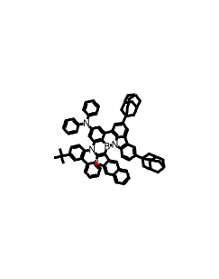 CC(C)(C)c1ccc(N2c3cc(N(c4ccccc4)c4ccccc4)cc4c3B(c3c2sc2cc5ccccc5cc32)n2c3ccc(C56CC7CC(CC(C7)C5)C6)cc3c3cc(C56CC7CC(CC(C7)C5)C6)cc-4c32)c(-c2ccccc2)c1